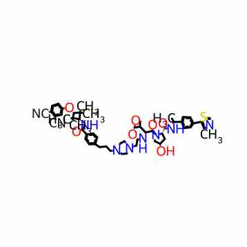 Cc1ncsc1-c1ccc(C(C)NC(=O)[C@@H]2C[C@@H](O)CN2C(=O)[C@@H](NC(=O)CN2CCN(CCCc3ccc(C(=O)N[C@H]4C(C)(C)[C@H](Oc5ccc(C#N)c(C#N)c5)C4(C)C)cc3)CC2)C2COC2)cc1